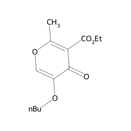 CCCCOc1coc(C)c(C(=O)OCC)c1=O